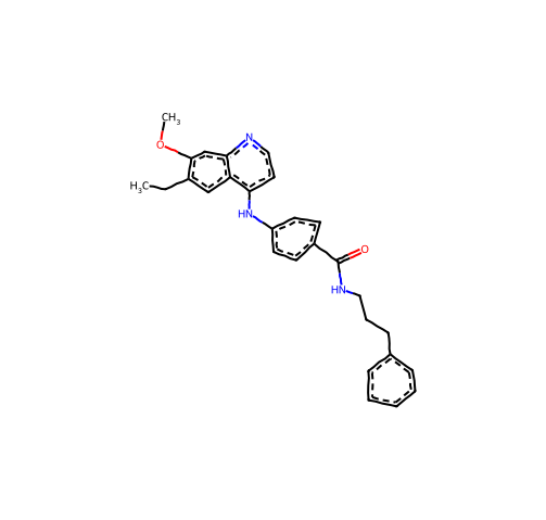 CCc1cc2c(Nc3ccc(C(=O)NCCCc4ccccc4)cc3)ccnc2cc1OC